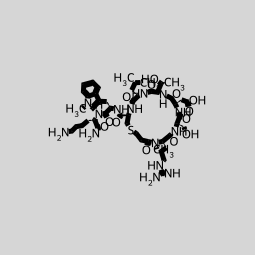 CC(C)C[C@@H]1NC(=O)[C@H]([C@@H](C)O)NC(=O)[C@H](CC(=O)O)NC(=O)[C@H](CO)NC(=O)[C@H](CCCNC(=N)N)N(C)C(=O)CCSC[C@@H](C(=O)N[C@@H](Cc2cn(C)c3ccccc23)C(=O)N[C@@H](CCCCN)C(N)=O)NC1=O